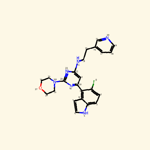 Fc1ccc2[nH]ccc2c1-c1cc(NCCc2cccnc2)nc(N2CCOCC2)n1